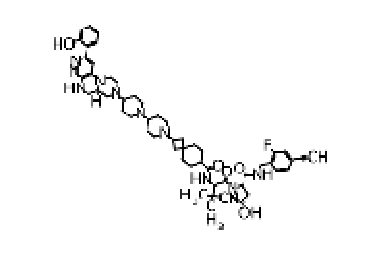 C#Cc1ccc(CNC(=O)[C@@H]2C[C@@H](O)CN2C(=O)[C@@H](NC(=O)C2CCC3(CC2)CC(N2CCC(N4CCC(N5CCN6c7cc(-c8ccccc8O)nnc7NC[C@H]6C5)CC4)CC2)C3)C(C)(C)C)c(F)c1